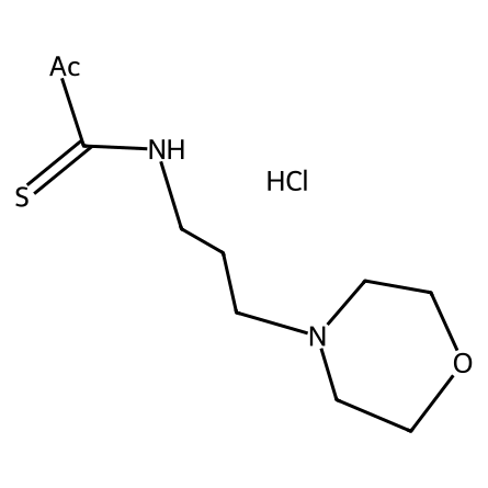 CC(=O)C(=S)NCCCN1CCOCC1.Cl